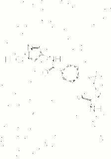 Cn1cc(NC(=O)c2ccc([C@@H]3C[C@H]3OC(N)=O)cc2)cn1